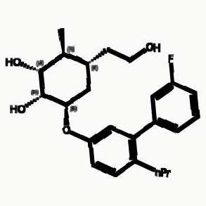 CCCc1ccc(O[C@@H]2C[C@@H](CCO)[C@H](C)[C@@H](O)[C@H]2O)cc1-c1cccc(F)c1